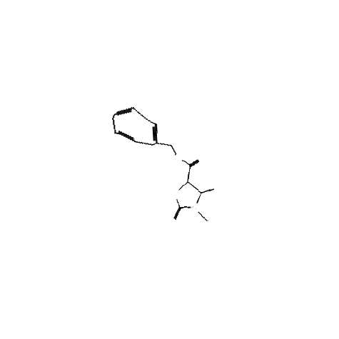 CC1C(C(=O)OCc2ccccc2)OC(=O)N1C